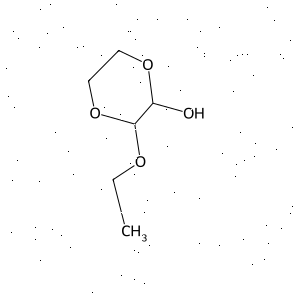 CCOC1OCCOC1O